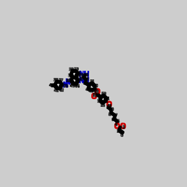 C=CC(=O)OCCCCCCOc1ccc(C(=O)Oc2ccc(CCC3(C)Nc4cccc5c(/N=N/c6ccc(C)cc6)ccc(c45)N3)cc2)cc1